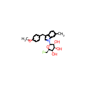 COc1ccc(Cc2cn([C@@H]3O[C@H](CF)[C@@H](O)[C@H](O)[C@H]3O)c3cc(C)ccc23)cc1